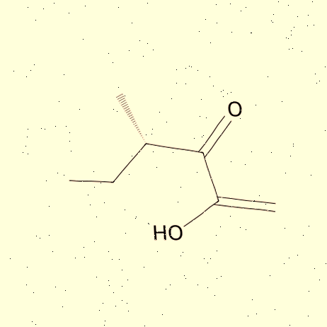 C=C(O)C(=O)[C@@H](C)CC